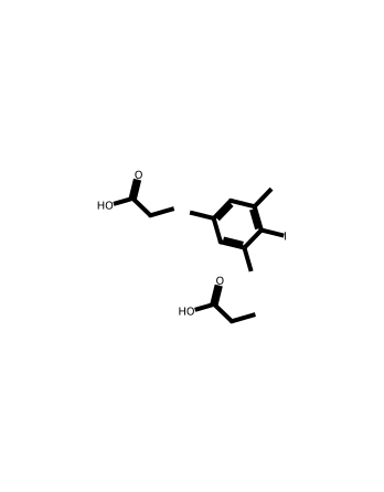 CCC(=O)O.CCC(=O)O.Cc1cc(C)c(I)c(C)c1